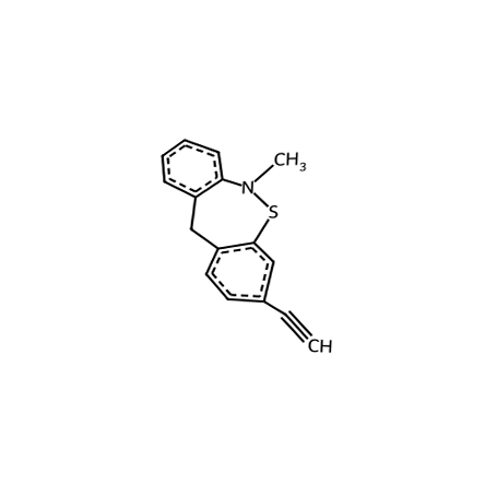 C#Cc1ccc2c(c1)SN(C)c1ccccc1C2